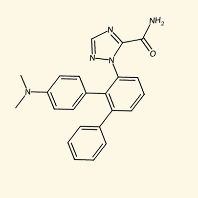 CN(C)c1ccc(-c2c(-c3ccccc3)cccc2-n2ncnc2C(N)=O)cc1